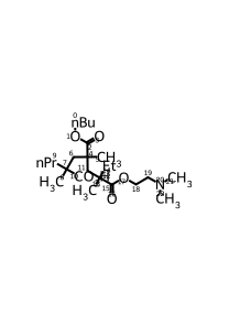 CCCCOC(=O)C(C)(CC(C)(CCC)C(=O)O)CC(C)(CC)C(=O)OCCN(C)C